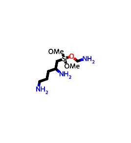 CO[Si](CC(N)CCCN)(OC)OCN